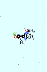 C=CC(=O)NCc1cc(/N=C\C(C)CC)c(C)c(-c2ccc(OC(F)(F)F)cc2)c1